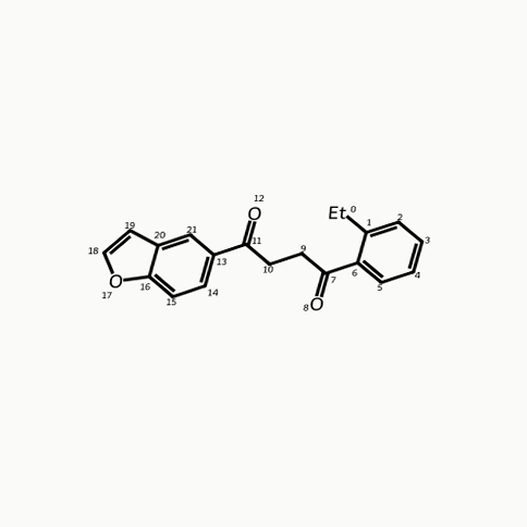 CCc1ccccc1C(=O)CCC(=O)c1ccc2occc2c1